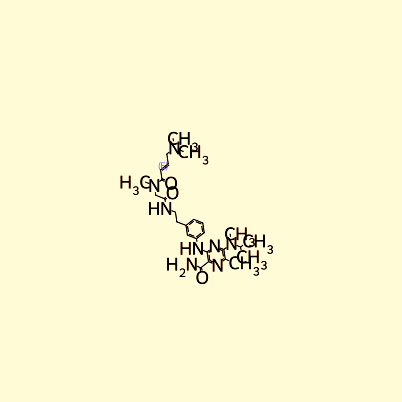 Cc1nc(C(N)=O)c(Nc2cccc(CCNC(=O)CN(C)C(=O)/C=C/CN(C)C)c2)nc1N(C)C(C)C